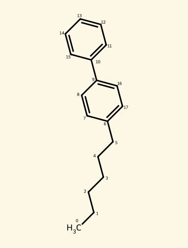 CCCCCCc1ccc(-c2ccccc2)cc1